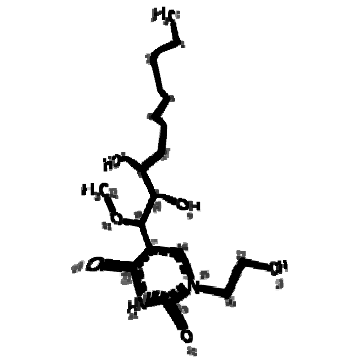 CCCCCCC(O)[C@@H](O)C(OC)c1cn(CCO)c(=O)[nH]c1=O